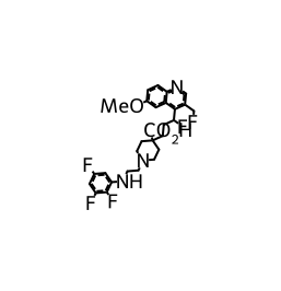 COc1ccc2ncc(CF)c(C(F)CCC3(C(=O)O)CCN(CCNc4cc(F)cc(F)c4F)CC3)c2c1